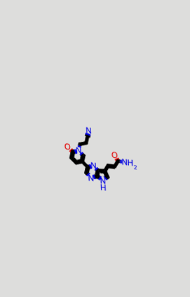 N#CCCn1cc(-c2cnc3[nH]cc(C=CC(N)=O)c3n2)ccc1=O